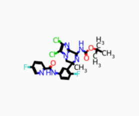 CC(C)(C)OC(=O)NC1=NC(C)(c2cc(NC(=O)c3ccc(F)cn3)ccc2F)Cn2c1nc(Cl)c2Cl